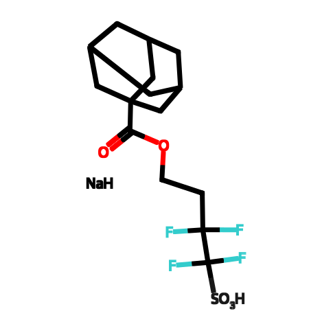 O=C(OCCC(F)(F)C(F)(F)S(=O)(=O)O)C12CC3CC(CC(C3)C1)C2.[NaH]